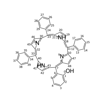 Oc1ccccc1-c1c2nc(c(-c3ccccc3)c3ccc([nH]3)c(-c3ccccc3)c3nc(c(-c4ccccc4)c4ccc1[nH]4)C=C3)C=C2